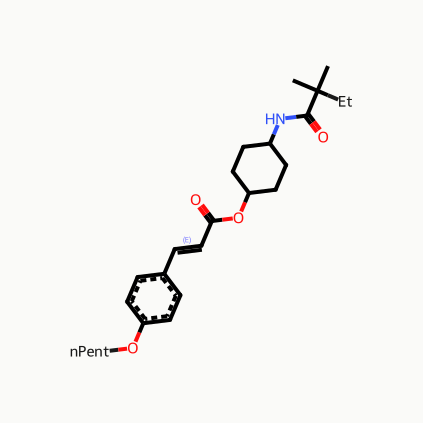 CCCCCOc1ccc(/C=C/C(=O)OC2CCC(NC(=O)C(C)(C)CC)CC2)cc1